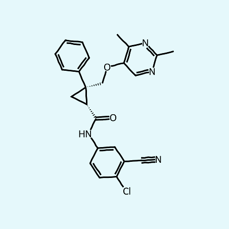 Cc1ncc(OC[C@@]2(c3ccccc3)C[C@H]2C(=O)Nc2ccc(Cl)c(C#N)c2)c(C)n1